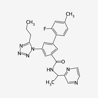 CCCc1nnnn1-c1cc(C(=O)NC(C)c2cnccn2)cc(-c2ccc(C)cc2F)c1